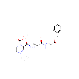 CCOC(=O)N1CCN(C(=O)OC(C)(C)C)C(C(=O)NCCC(=O)NCCC(=O)OCc2ccccc2)C1